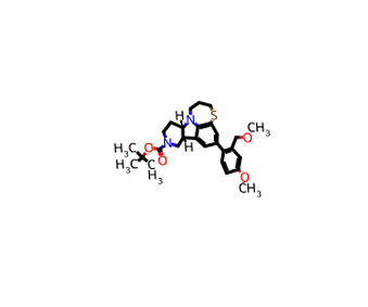 COCc1cc(OC)ccc1-c1cc2c3c(c1)[C@@H]1CN(C(=O)OC(C)(C)C)CC[C@@H]1N3CCCS2